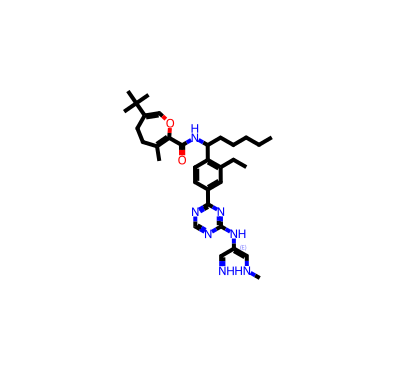 CCCCCC(NC(=O)C1=C(C)CCC(C(C)(C)C)=CO1)c1ccc(-c2ncnc(N/C(C=N)=C/NC)n2)cc1CC